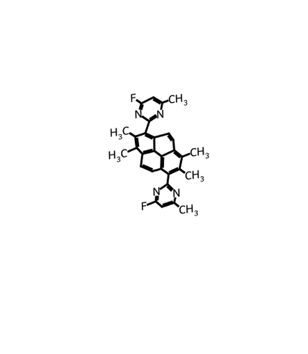 Cc1cc(F)nc(-c2c(C)c(C)c3ccc4c(-c5nc(C)cc(F)n5)c(C)c(C)c5ccc2c3c54)n1